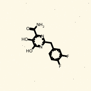 NC(=O)c1nc(Cc2ccc(F)c(F)c2)nc(O)c1O